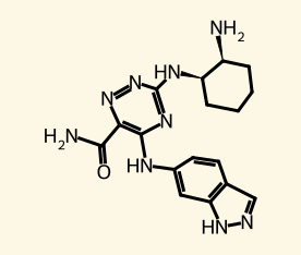 NC(=O)c1nnc(N[C@@H]2CCCC[C@@H]2N)nc1Nc1ccc2cn[nH]c2c1